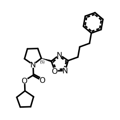 O=C(OC1CCCC1)N1CCC[C@H]1c1nc(CCCc2ccccc2)no1